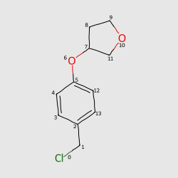 ClCc1ccc(OC2CCOC2)cc1